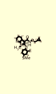 CSc1ccc(Nc2c(C(=O)NOCC3CC3)c3cccnc3n2C)c(F)c1